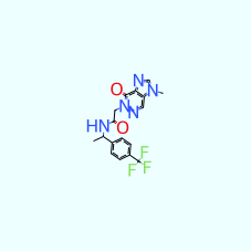 CC(NC(=O)Cn1ncc2c(ncn2C)c1=O)c1ccc(C(F)(F)F)cc1